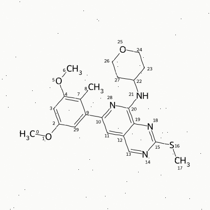 COc1cc(OC)c(C)c(-c2cc3cnc(SC)nc3c(NC3CCOCC3)n2)c1